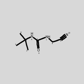 CC(C)(C)NC(=O)NCC#N